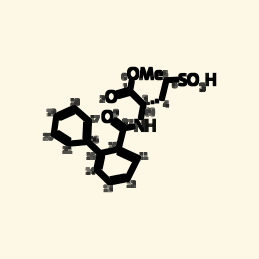 COC(=O)[C@H](CCS(=O)(=O)O)NC(=O)c1ccccc1-c1ccccc1